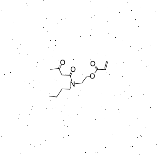 C=CC(=O)OCCN(CCCC)C(=O)CC(C)=O